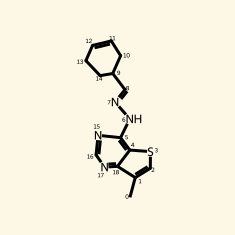 Cc1csc2c(NN=CC3CC=CCC3)ncnc12